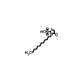 CCCCCCCCCCCCN1C(=O)CSC1S(=O)(=O)O